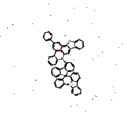 c1ccc(-c2cccc(-c3ccccc3N(c3ccc4oc5ccccc5c4c3)c3cccc4c3-c3ccccc3C43c4ccccc4-n4c5ccccc5c5cccc3c54)c2)cc1